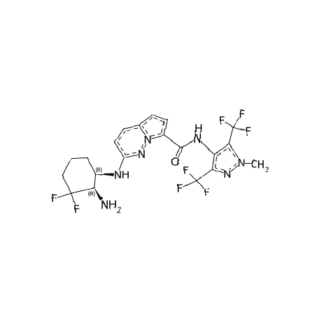 Cn1nc(C(F)(F)F)c(NC(=O)c2ccc3ccc(N[C@@H]4CCCC(F)(F)[C@@H]4N)nn23)c1C(F)(F)F